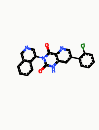 O=c1[nH]c2cc(-c3ccccc3Cl)cnc2c(=O)n1-c1cncc2ccccc12